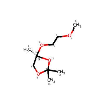 COCCO[C@]1(C)COC(C)(C)O1